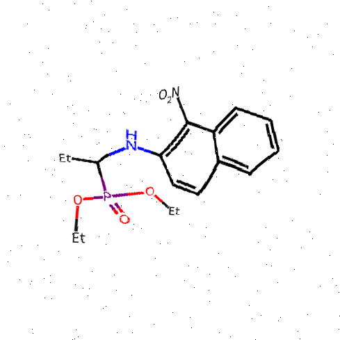 CCOP(=O)(OCC)C(CC)Nc1ccc2ccccc2c1[N+](=O)[O-]